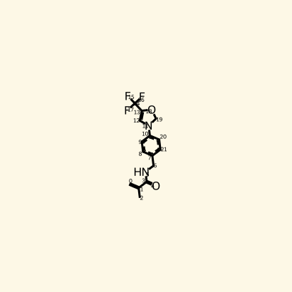 C=C(C)C(=O)NCc1ccc(N2C=C(C(F)(F)F)OC2)cc1